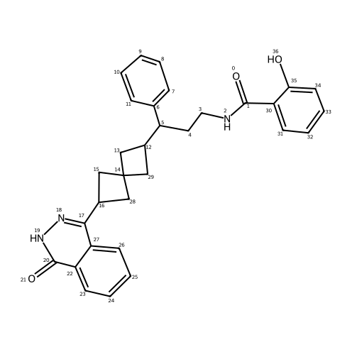 O=C(NCCC(c1ccccc1)C1CC2(CC(c3n[nH]c(=O)c4ccccc34)C2)C1)c1ccccc1O